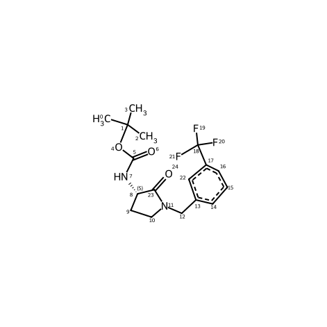 CC(C)(C)OC(=O)N[C@H]1CCN(Cc2cccc(C(F)(F)F)c2)C1=O